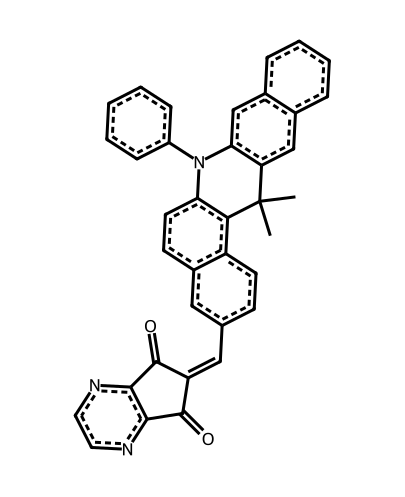 CC1(C)c2cc3ccccc3cc2N(c2ccccc2)c2ccc3cc(C=C4C(=O)c5nccnc5C4=O)ccc3c21